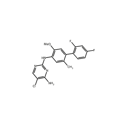 COc1cc(-c2ccc(F)cc2F)c(C)cc1Nc1ncc(Cl)c(N)n1